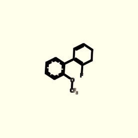 FC1=C(c2ccccc2OC(F)(F)F)C=CCC1